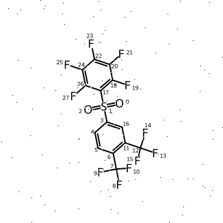 O=S(=O)(c1ccc(C(F)(F)F)c(C(F)(F)F)c1)c1c(F)c(F)c(F)c(F)c1F